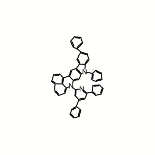 c1ccc(-c2cc(-c3ccccc3)nc(N3c4cc5c(cc4-c4cccc6cccc3c46)c3cc(-c4ccccc4)ccc3n5-c3ccccc3)c2)cc1